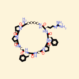 NC(N)=NCCC[C@@H]1NC(=O)[C@H](Cc2ccccc2)NC(=O)[C@@H]2CCCN2C(=O)CNC(=O)[C@H](Cc2ccccc2)NC(=O)CNC(=O)[C@@H]2CCCN2C(=O)[C@@H]2CCCN2C(=O)[C@@H](N)CCCCNC1=O